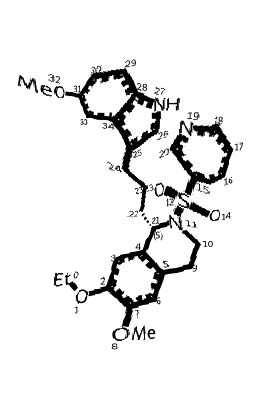 CCOc1cc2c(cc1OC)CCN(S(=O)(=O)c1cccnc1)[C@H]2CCCc1c[nH]c2ccc(OC)cc12